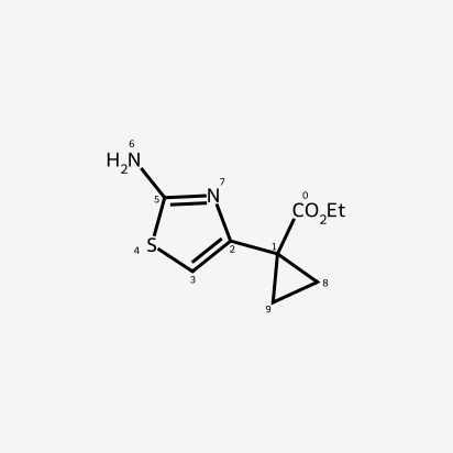 CCOC(=O)C1(c2csc(N)n2)CC1